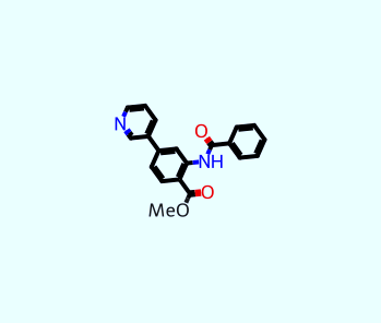 COC(=O)c1ccc(-c2cccnc2)cc1NC(=O)c1ccccc1